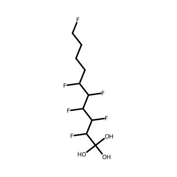 OC(O)(O)C(F)C(F)C(F)C(F)C(F)CCCCF